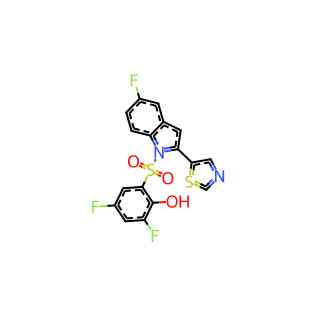 O=S(=O)(c1cc(F)cc(F)c1O)n1c(-c2cncs2)cc2cc(F)ccc21